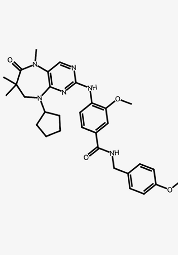 COc1ccc(CNC(=O)c2ccc(Nc3ncc4c(n3)N(C3CCCC3)CC(C)(C)C(=O)N4C)c(OC)c2)cc1